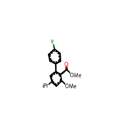 COC(=O)c1c(OC)cc(C(C)C)cc1-c1ccc(F)cc1